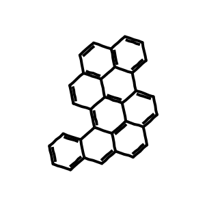 c1ccc2c(c1)cc1ccc3ccc4c5cccc6ccc7ccc8c2c1c3c4c8c7c65